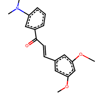 COc1cc(C=CC(=O)c2cccc(N(C)C)c2)cc(OC)c1